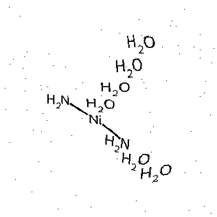 O.O.O.O.O.O.[NH2][Ni][NH2]